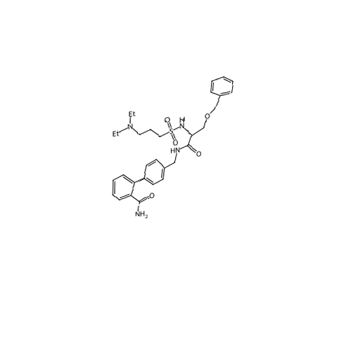 CCN(CC)CCCS(=O)(=O)NC(COCc1ccccc1)C(=O)NCc1ccc(-c2ccccc2C(N)=O)cc1